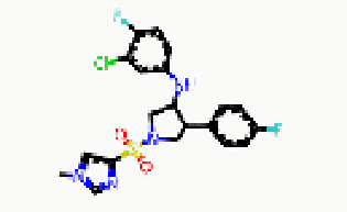 Cn1cnc(S(=O)(=O)N2CC(Nc3ccc(F)c(Cl)c3)C(c3ccc(F)cc3)C2)c1